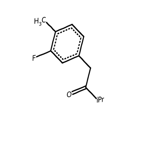 Cc1ccc(CC(=O)C(C)C)cc1F